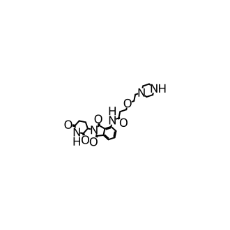 O=C1CCC(N2C(=O)c3cccc(NC(=O)CCOCCN4CCNCC4)c3C2=O)C(=O)N1